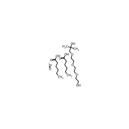 CC(C)(O)COCCOCCOCCO.CCCCCC(=O)O.CCCCCC(=O)O.O=[Te]